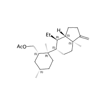 C=C1CC[C@H]2[C@H](CC)[C@@H]([C@@]3(C)CC[C@H](C)C[C@@H]3COC(C)=O)CC[C@]12C